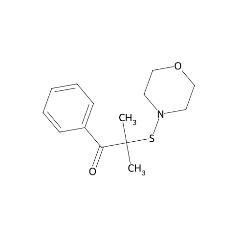 CC(C)(SN1CCOCC1)C(=O)c1ccccc1